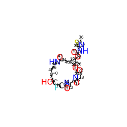 CC1=C\C(O)CC(F)Cc2nc(co2)C(=O)N2CCCC2C(=O)OC(C(C)COC(=O)Nc2csc(C)n2)C(C)/C=C/C(=O)NC\C=C\1